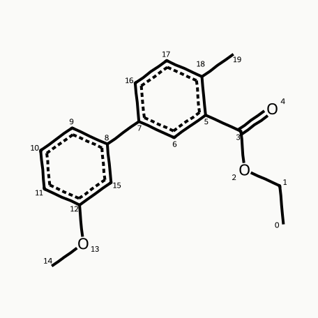 CCOC(=O)c1cc(-c2cccc(OC)c2)ccc1C